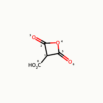 O=C(O)C1C(=O)OC1=O